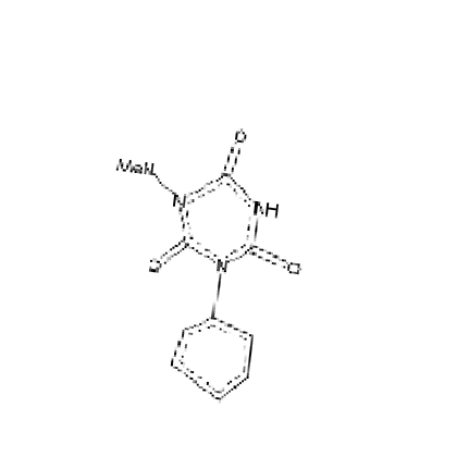 CNn1c(=O)[nH]c(=O)n(-c2ccccc2)c1=O